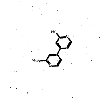 CNc1cc(-c2ccnc(C#N)c2)ccn1